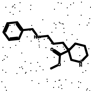 COC(=O)C1(CCCNCc2ccccc2)CCCNC1